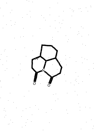 O=C1CCC2CCC[C@H]3CCC(=O)N1C23